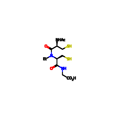 CCN(C(=O)[C@H](CS)NC(C)=O)[C@@H](CS)C(=O)NCC(=O)O